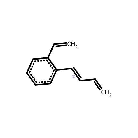 C=C/C=C/c1ccccc1C=C